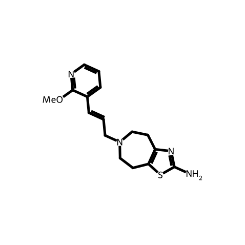 COc1ncccc1C=CCN1CCc2nc(N)sc2CC1